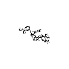 CCC(=O)N1CCOC(COc2cc3ncnc(Nc4ccc(Cl)c(Cl)c4)c3cc2OC)C1